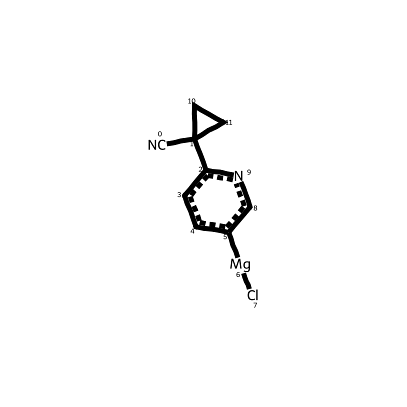 N#CC1(c2cc[c]([Mg][Cl])cn2)CC1